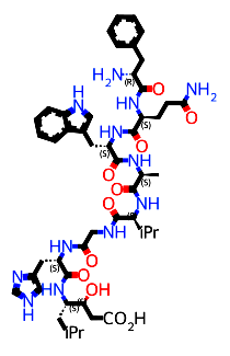 CC(C)C[C@H](NC(=O)[C@H](Cc1c[nH]cn1)NC(=O)CNC(=O)[C@@H](NC(=O)[C@H](C)NC(=O)[C@H](Cc1c[nH]c2ccccc12)NC(=O)[C@H](CCC(N)=O)NC(=O)[C@H](N)Cc1ccccc1)C(C)C)[C@@H](O)CC(=O)O